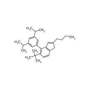 CCCCC1=Cc2c(ccc(C(C)(C)C)c2-c2cc(C(C)C)cc(C(C)C)c2)[CH]1